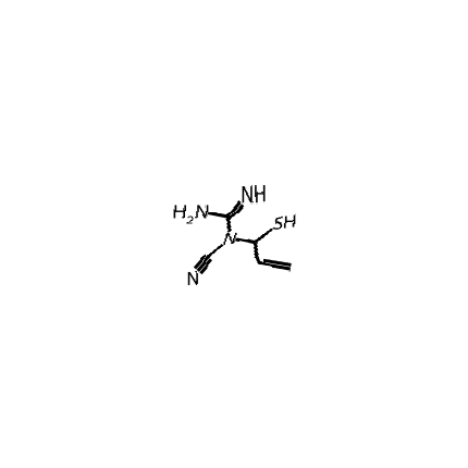 C=CC(S)N(C#N)C(=N)N